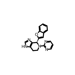 c1cnc(N2CCc3[nH]cnc3[C@H]2c2cc3ccccc3o2)nc1